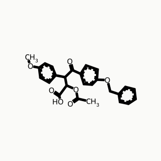 COc1ccc(C(C(=O)c2ccc(OCc3ccccc3)cc2)C(OC(C)=O)C(=O)O)cc1